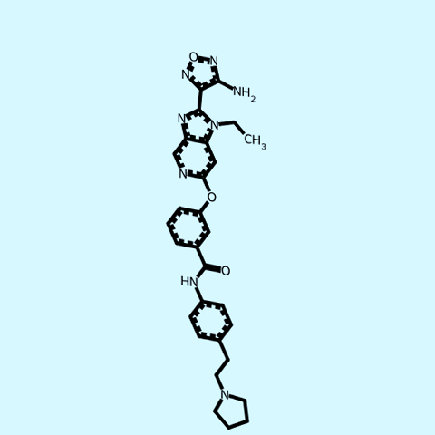 CCn1c(-c2nonc2N)nc2cnc(Oc3cccc(C(=O)Nc4ccc(CCN5CCCC5)cc4)c3)cc21